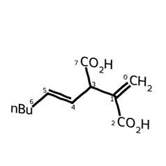 C=C(C(=O)O)C(C=CCCCC)C(=O)O